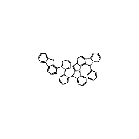 c1ccc(-n2c3ccccc3c3ccc4nc5n(-c6ccccc6-c6ccccc6-c6nccc7c6oc6ccccc67)c6ccccc6n5c4c32)cc1